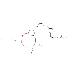 CCCCC[C@H]1CCOC(CCC)C[C@@H](OC)CC2C[C@@H](OC(=O)/C=C\CCc3coc(/C=C\CNC(=O)OC)n3)CC(CC(=O)O1)O2